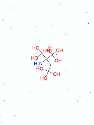 NC(CC(O)(O)O)(C(O)(O)O)C(O)(O)O